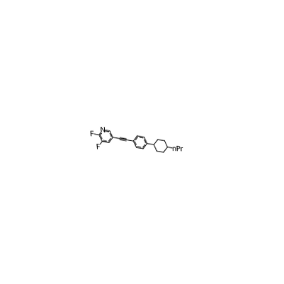 CCCC1CCC(c2ccc(C#Cc3cnc(F)c(F)c3)cc2)CC1